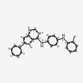 Cc1ccccc1Nc1ccc(Nc2ncnc3cc(-c4ccccc4)sc23)cc1